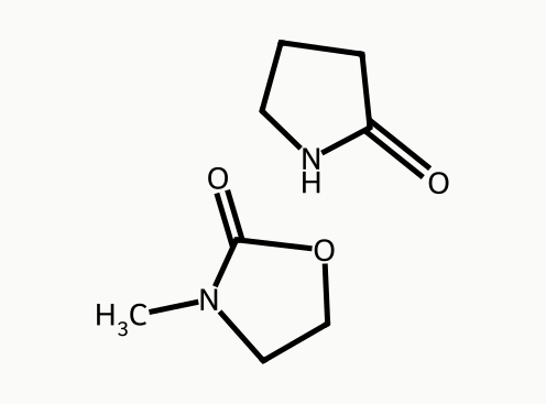 CN1CCOC1=O.O=C1CCCN1